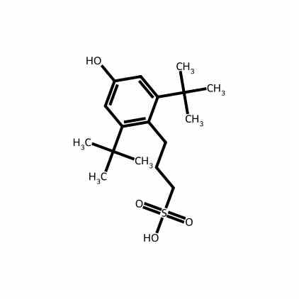 CC(C)(C)c1cc(O)cc(C(C)(C)C)c1CCCS(=O)(=O)O